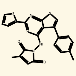 CC1=CC(=O)N(Nc2nc(-c3cccs3)nc3scc(-c4ccc(C)cc4)c23)C1=O